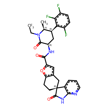 C[C@H]1[C@@H](c2c(F)ccc(F)c2F)C[C@@H](NC(=O)c2cc3c(o2)CC[C@]2(C3)C(=O)Nc3ncccc32)C(=O)N1CC(F)(F)F